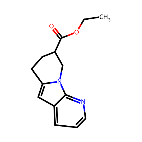 CCOC(=O)C1CCc2cc3cccnc3n2C1